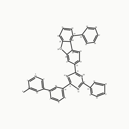 Cc1cncc(-c2cccc(-c3nc(-c4ccccc4)nc(-c4ccc5c(c4)oc4cccc(-c6ccccc6)c45)n3)c2)c1